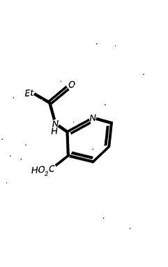 CCC(=O)Nc1ncccc1C(=O)O